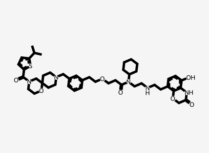 CC(C)c1ccc(C(=O)N2CCOC3(CCN(Cc4cccc(CCOCCC(=O)N(CCNCCc5ccc(O)c6c5OCC(=O)N6)C5CCCCC5)c4)CC3)C2)s1